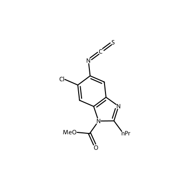 CCCc1nc2cc(N=C=S)c(Cl)cc2n1C(=O)OC